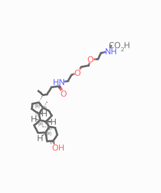 CC(CCC(=O)NCCOCCOCCNC(=O)O)[C@H]1CC[C@H]2[C@@H]3CC[C@@H]4C[C@H](O)CC[C@]4(C)[C@H]3CC[C@]12C